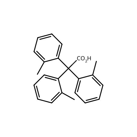 Cc1ccccc1C(C(=O)O)(c1ccccc1C)c1ccccc1C